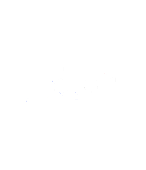 COc1ccc(Nc2cc(C)nc(SCC#N)n2)cc1